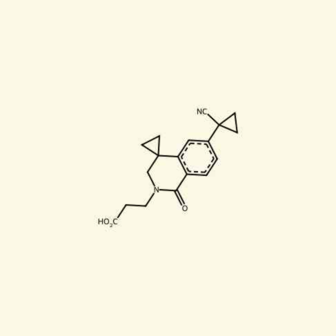 N#CC1(c2ccc3c(c2)C2(CC2)CN(CCC(=O)O)C3=O)CC1